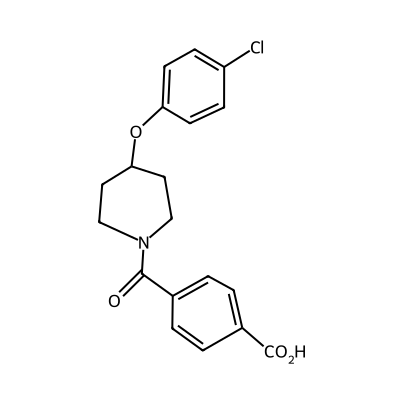 O=C(O)c1ccc(C(=O)N2CCC(Oc3ccc(Cl)cc3)CC2)cc1